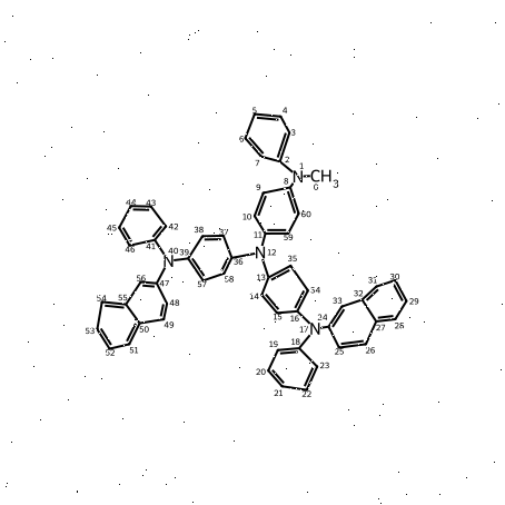 CN(c1ccccc1)c1ccc(N(c2ccc(N(c3ccccc3)c3ccc4ccccc4c3)cc2)c2ccc(N(c3ccccc3)c3ccc4ccccc4c3)cc2)cc1